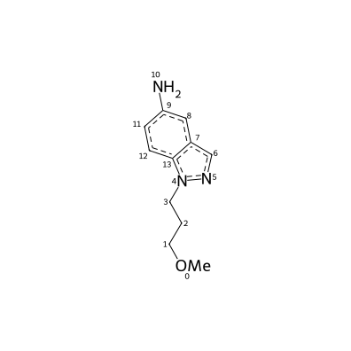 COCCCn1ncc2cc(N)ccc21